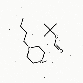 CC(C)(C)OC=O.CCCCN1CCNCC1